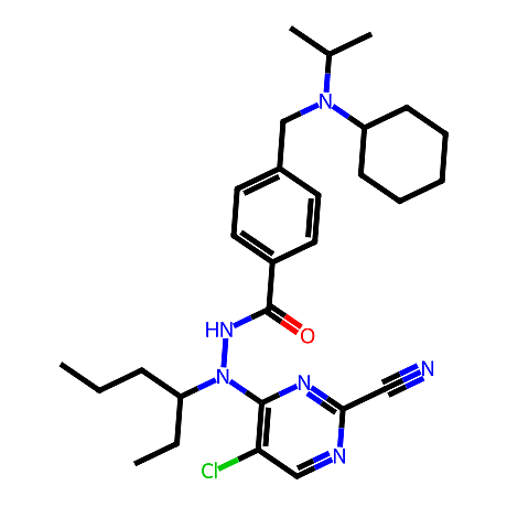 CCCC(CC)N(NC(=O)c1ccc(CN(C(C)C)C2CCCCC2)cc1)c1nc(C#N)ncc1Cl